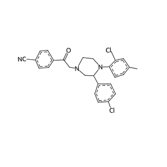 Cc1ccc(N2CCN(CC(=O)c3ccc(C#N)cc3)CC2c2ccc(Cl)cc2)c(Cl)c1